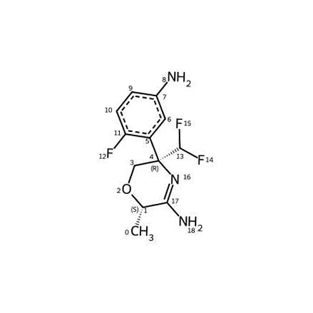 C[C@@H]1OC[C@](c2cc(N)ccc2F)(C(F)F)N=C1N